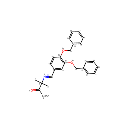 COC(=O)C(C)(C)/N=C/c1ccc(OCc2ccccc2)c(OCc2ccccc2)c1